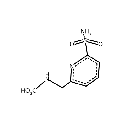 NS(=O)(=O)c1cccc(CNC(=O)O)n1